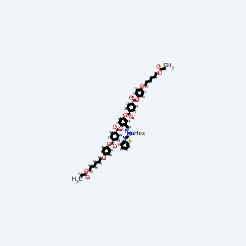 C=CC(=O)OCCCCCCOc1ccc(OC(=O)[C@H]2CC[C@H](C(=O)Oc3ccc(OC(=O)[C@H]4CC[C@H](C(=O)Oc5ccc(OCCCCCCOC(=O)C=C)cc5)CC4)c(/C=N/N(CCCCCC)c4nc5ccccc5s4)c3)CC2)cc1